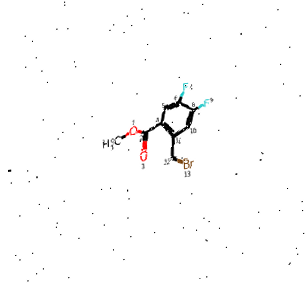 COC(=O)c1cc(F)c(F)cc1CBr